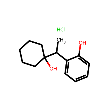 CC(c1ccccc1O)C1(O)CCCCC1.Cl